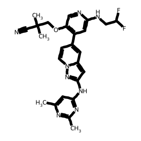 Cc1cc(Nc2cc3cc(-c4cc(NCC(F)F)ncc4OCC(C)(C)C#N)ccn3n2)nc(C)n1